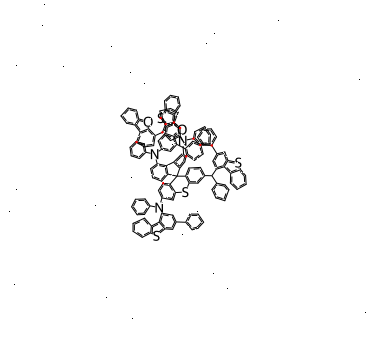 c1ccc(-c2cc(C(c3ccccc3)c3ccc4c(c3)Sc3cc(N(c5ccccc5)c5cc(-c6ccccc6)cc6sc7ccccc7c56)ccc3C43c4ccc(N(c5ccccc5)c5cc(-c6cccc7c6oc6ccccc67)c6sc7ccccc7c6c5)cc4-c4c(N(c5ccccc5)c5cc(-c6ccccc6)c6oc7ccccc7c6c5)cccc43)c3c(c2)sc2ccccc23)cc1